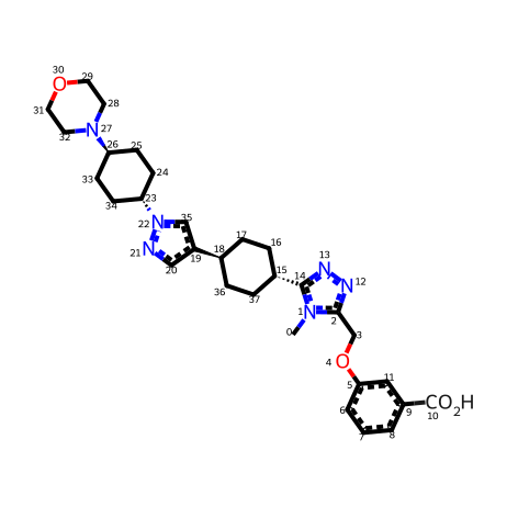 Cn1c(COc2cccc(C(=O)O)c2)nnc1[C@H]1CC[C@H](c2cnn([C@H]3CC[C@H](N4CCOCC4)CC3)c2)CC1